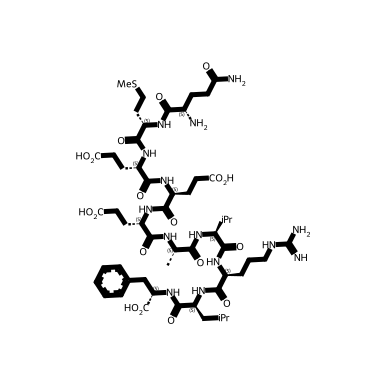 CSCC[C@H](NC(=O)[C@@H](N)CCC(N)=O)C(=O)N[C@@H](CCC(=O)O)C(=O)N[C@@H](CCC(=O)O)C(=O)N[C@@H](CCC(=O)O)C(=O)N[C@@H](C)C(=O)N[C@H](C(=O)N[C@@H](CCCNC(=N)N)C(=O)N[C@@H](CC(C)C)C(=O)N[C@@H](Cc1ccccc1)C(=O)O)C(C)C